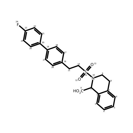 O=C(O)C1c2ccccc2CCN1S(=O)(=O)CCc1ccc(-c2ccc(F)cc2)cc1